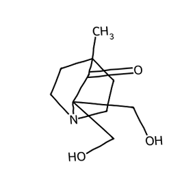 CC12CCN(CC1)C(CO)(CO)C2=O